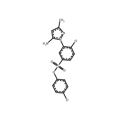 Cc1cc(N)n(-c2cc(S(=O)(=O)Oc3ccc(Cl)cc3)ccc2Cl)n1